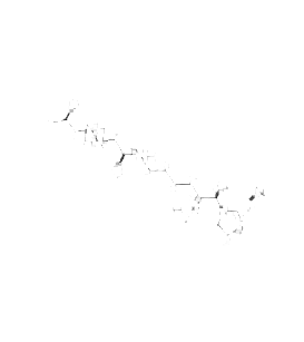 CC(=O)CNNCC(=O)NCCCC[C@H](N)C(=O)N1CCS[C@H]1C#N